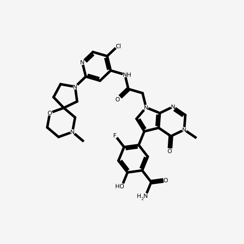 CN1CCOC2(CCN(c3cc(NC(=O)Cn4cc(-c5cc(C(N)=O)c(O)cc5F)c5c(=O)n(C)cnc54)c(Cl)cn3)C2)C1